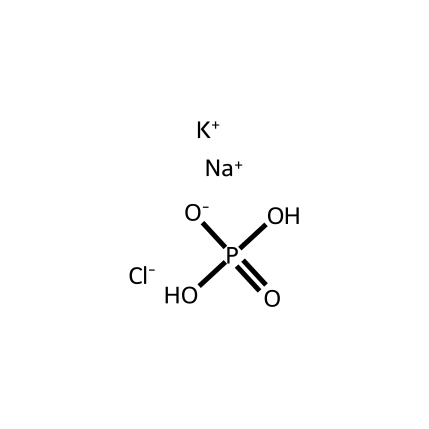 O=P([O-])(O)O.[Cl-].[K+].[Na+]